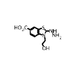 NNC1Sc2cc(C(=O)O)ccc2N1CCO